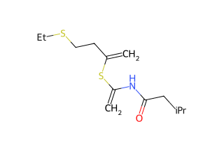 C=C(CCSCC)SC(=C)NC(=O)CC(C)C